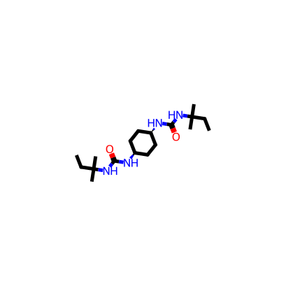 CCC(C)(C)NC(=O)N[C@H]1CC[C@H](NC(=O)NC(C)(C)CC)CC1